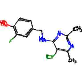 Cc1nc(C)c(Cl)c(NCc2ccc(O)c(F)c2)n1